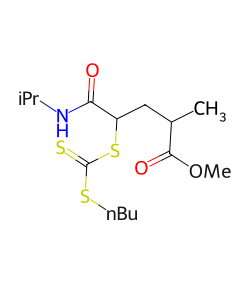 CCCCSC(=S)SC(CC(C)C(=O)OC)C(=O)NC(C)C